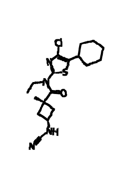 CCN(c1nc(Cl)c(C2CCCCC2)s1)C(=O)[C@]1(C)C[C@@H](NC#N)C1